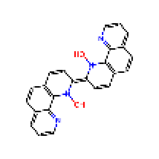 ON1C(=C2C=Cc3ccc4cccnc4c3N2O)C=Cc2ccc3cccnc3c21